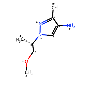 COC[C@H](C)n1cc(N)c(C)n1